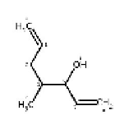 C=CCC(C)C(O)C=C